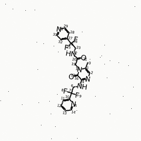 Cc1cnc(NCC(F)(F)c2ccccn2)c(=O)n1CC(=O)NCC(F)(F)c1ccncc1